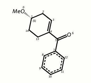 CO[C@@H]1CC=C(C(=O)c2ccccc2)CC1